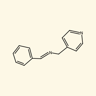 C(=NCc1ccncc1)c1ccccc1